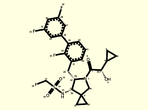 O=C([C@@H](O)C1CC1)N1CC2(CC2)[C@H](NS(=O)(=O)CF)[C@@H]1Cc1cccc(-c2cc(F)cc(F)c2)c1F